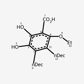 CCCCCCCCCCc1c(O)c(O)c(C(=O)O)c(OCC)c1CCCCCCCCCC